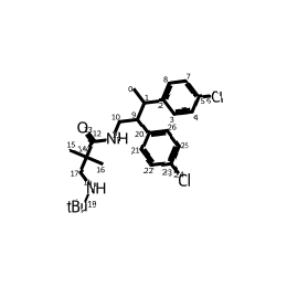 CC(c1ccc(Cl)cc1)C(CNC(=O)C(C)(C)CNC(C)(C)C)c1ccc(Cl)cc1